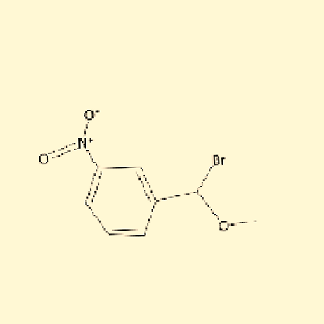 COC(Br)c1cccc([N+](=O)[O-])c1